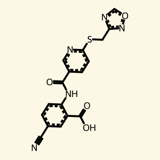 N#Cc1ccc(NC(=O)c2ccc(SCc3ncon3)nc2)c(C(=O)O)c1